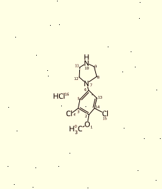 COc1c(Cl)cc(N2CCNCC2)cc1Cl.Cl